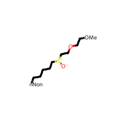 CCCCCCCCCCCCCC[S+]([O-])CCOCCOC